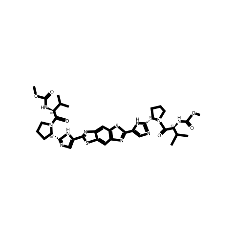 COC(=O)N[C@H](C(=O)N1CCC[C@H]1c1ncc(-c2nc3cc4sc(-c5cnc([C@@H]6CCCN6C(=O)[C@@H](NC(=O)OC)C(C)C)[nH]5)nc4cc3s2)[nH]1)C(C)C